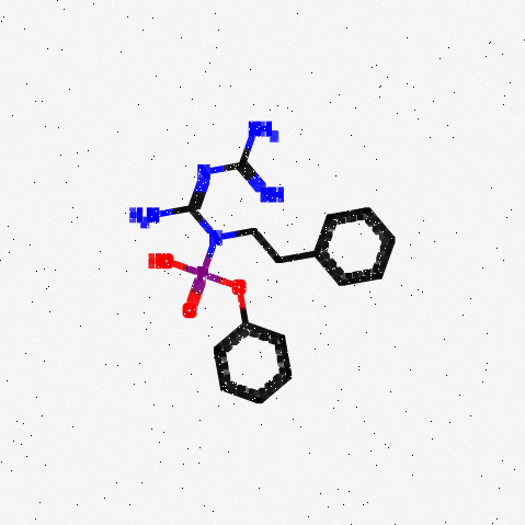 N=C(N)/N=C(/N)N(CCc1ccccc1)P(=O)(O)Oc1ccccc1